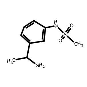 CC(N)c1cccc(NS(C)(=O)=O)c1